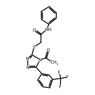 CC(=O)n1c(SCC(=O)Nc2ccccc2)nnc1-c1cccc(C(F)(F)F)c1